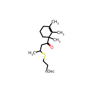 CCCCCCCCCCCCSC(C)CC(=O)C1(C)CCCC(C)=C1C